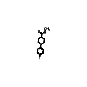 COC(=O)C1CCN(c2ccc(I)cc2)CC1